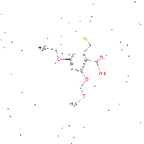 CCOc1cc(CS)c(C(=O)O)c(OCOC)c1